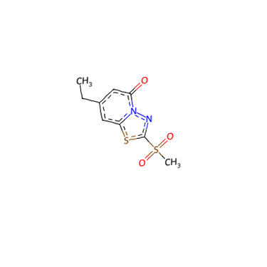 CCc1cc(=O)n2nc(S(C)(=O)=O)sc2c1